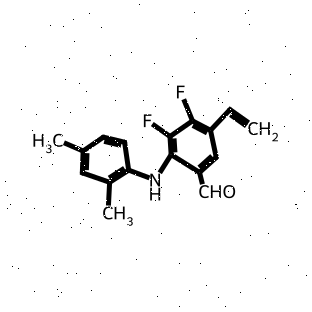 C=Cc1cc(C=O)c(Nc2ccc(C)cc2C)c(F)c1F